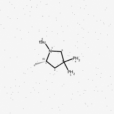 C[C@H]1CC(P)(P)CN1C(C)(C)C